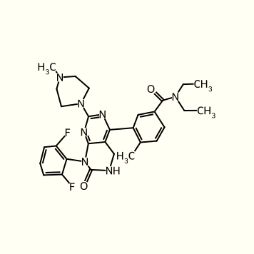 CCN(CC)C(=O)c1ccc(C)c(-c2nc(N3CCN(C)CC3)nc3c2CNC(=O)N3c2c(F)cccc2F)c1